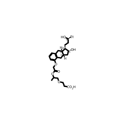 CC[C@H](O)CC[C@@H]1[C@H]2Cc3cccc(OCC(=O)OC(C)COCCC(=O)O)c3C[C@H]2C[C@H]1O